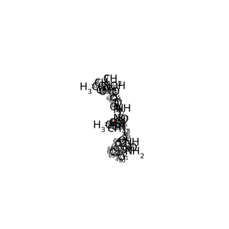 C=CCN(C(=O)OC(C)(C)C)[C@@H](Cc1ccc(OC(=O)NCC[C@H](NC(=O)OC(C)(C)C)C(=O)NCCCCCC(=O)N[C@@H](CSC(c2ccccc2)(c2ccccc2)c2ccccc2)C(N)=O)cc1)C(=O)O